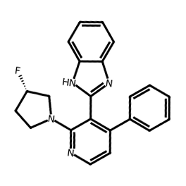 F[C@H]1CCN(c2nccc(-c3ccccc3)c2-c2nc3ccccc3[nH]2)C1